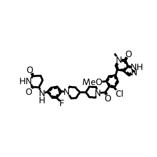 COc1cc(-c2cn(C)c(=O)c3[nH]ncc23)cc(Cl)c1C(=O)N1CCC(C2CCN(c3ccc(NC4CCC(=O)NC4=O)cc3F)CC2)CC1